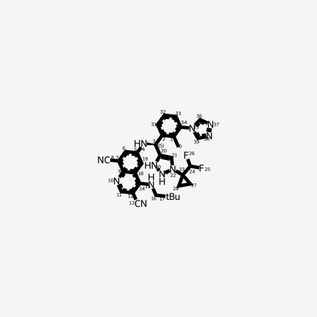 Cc1c([C@H](Nc2cc(C#N)c3ncc(C#N)c(NCC(C)(C)C)c3c2)C2=CN(C3(C(F)F)CC3)NN2)cccc1-n1cnnc1